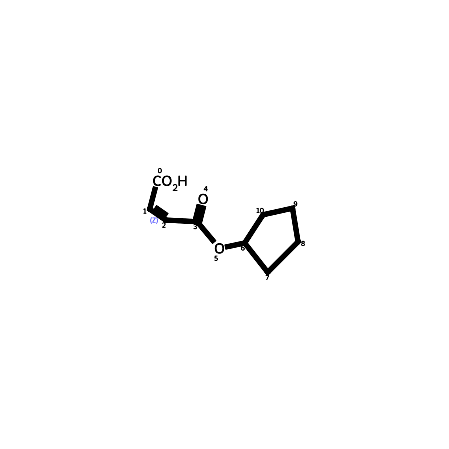 O=C(O)/C=C\C(=O)OC1CCCC1